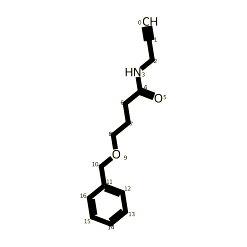 C#CCNC(=O)CCCOCc1ccccc1